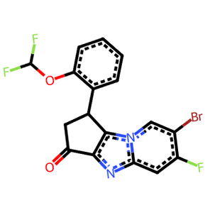 O=C1CC(c2ccccc2OC(F)F)c2c1nc1cc(F)c(Br)cn21